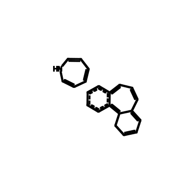 C1=CC=CNC=C1.C1=CCC2=c3ccccc3=CC=CC2=C1